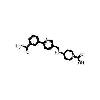 NC(=O)c1cccc(-c2ccc(CNC3CCN(C(=O)O)CC3)cn2)c1